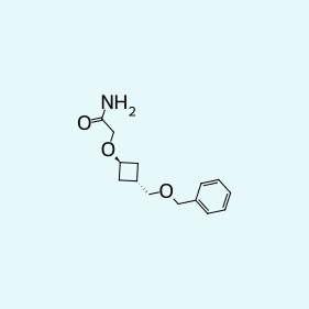 NC(=O)CO[C@H]1C[C@H](COCc2ccccc2)C1